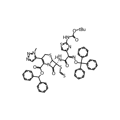 Cn1nncc1C1=C(C(=O)OC(c2ccccc2)c2ccccc2)N2C(=O)[C@](NC(=O)/C(=N\OC(c3ccccc3)(c3ccccc3)c3ccccc3)c3csc(NC(=O)OC(C)(C)C)n3)(SC=S)[C@@H]2SC1